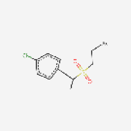 CC(=O)CCS(=O)(=O)C(C)c1ccc(Cl)cc1